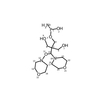 NP(O)OCC(CO)(CO)C(ON1CCOCC1)N1CCOCC1